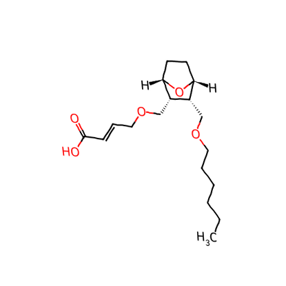 CCCCCCOC[C@@H]1[C@H](COC/C=C/C(=O)O)[C@@H]2CC[C@H]1O2